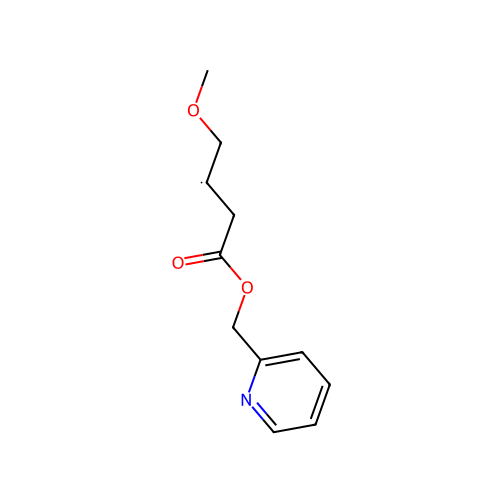 COC[CH]CC(=O)OCc1ccccn1